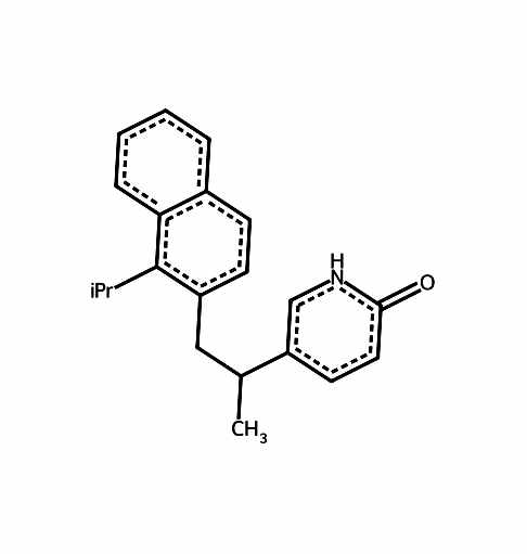 CC(C)c1c(CC(C)c2ccc(=O)[nH]c2)ccc2ccccc12